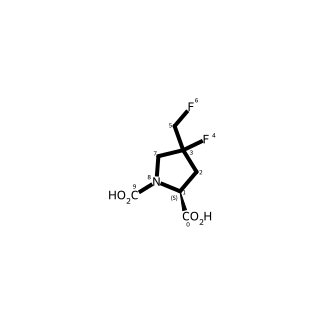 O=C(O)[C@@H]1CC(F)(CF)CN1C(=O)O